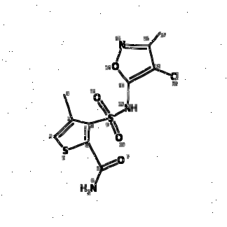 Cc1csc(C(N)=O)c1S(=O)(=O)Nc1onc(C)c1Cl